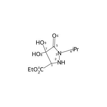 CCOC(=O)C1NN(C(C)C)C(=O)C1(O)O